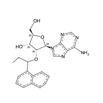 CCC(O[C@@H]1[C@H](O)[C@@H](CO)O[C@H]1n1cnc2c(N)ncnc21)c1cccc2ccccc12